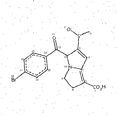 C[S+]([O-])C1=CC2=C(C(=O)O)CCN2C1C(=O)c1ccc(Br)cc1